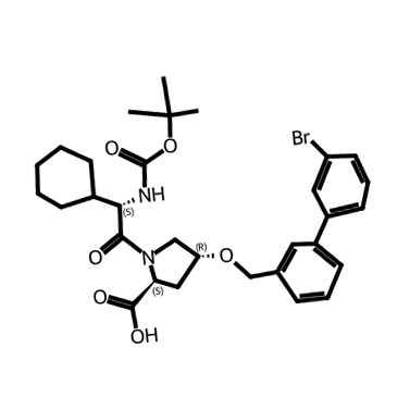 CC(C)(C)OC(=O)N[C@H](C(=O)N1C[C@H](OCc2cccc(-c3cccc(Br)c3)c2)C[C@H]1C(=O)O)C1CCCCC1